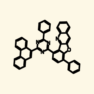 c1ccc(-c2nc(-c3cc4ccccc4c4ccccc34)nc(-c3ccc(-c4ccccc4)c4oc5cc6ccccc6nc5c34)n2)cc1